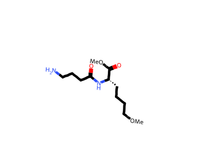 COCCCC[C@H](NC(=O)CCCN)C(=O)OC